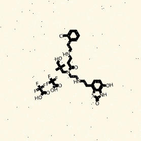 CC(C)(CO)CN(CCNCCc1ccc(O)c2[nH]c(=O)sc12)C(=O)CCNCCc1ccccc1Cl.O=C(O)C(F)(F)F.O=C(O)C(F)(F)F